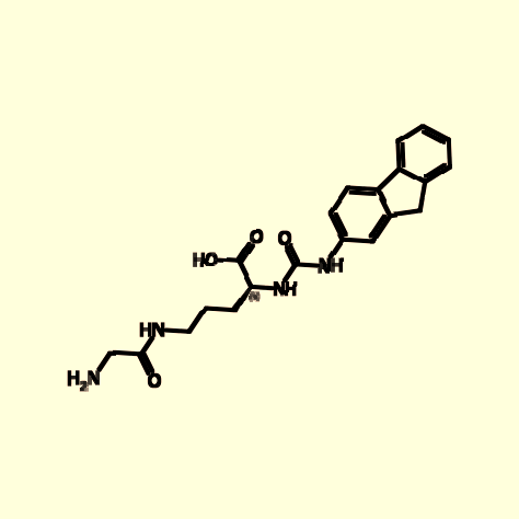 NCC(=O)NCCC[C@H](NC(=O)Nc1ccc2c(c1)Cc1ccccc1-2)C(=O)O